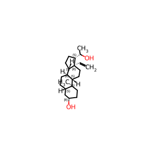 C=C[C@]12CC[C@H]3[C@@H](CC[C@H]4C[C@H](O)CC[C@@]43C)[C@@H]1CC[C@@H]2C(C)O